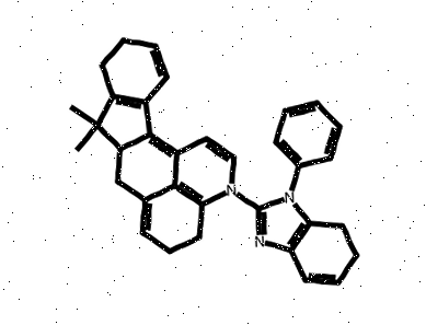 CC1(C)C2=C(C=CCC2)C2=C3C=CN(c4nc5c(n4-c4ccccc4)CCC=C5)C4=C3C(=CCC4)CC21